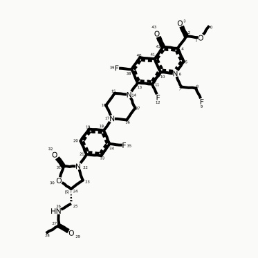 COC(=O)c1cn(CCF)c2c(F)c(N3CCN(c4ccc(N5C[C@H](CNC(C)=O)OC5=O)cc4F)CC3)c(F)cc2c1=O